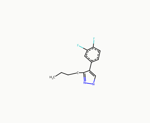 CCCCC1=N[N]C=C1c1ccc(F)c(F)c1